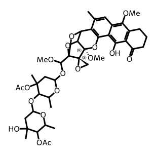 COc1c2c(c(O)c3c4c(c(C)cc13)C1OC3(C(OC)OC5CC(C)(OC(C)=O)C(OC6CC(C)(O)C(OC(C)=O)C(C)O6)C(C)O5)OC1[C@@](OC)(O4)[C@@]31CO1)C(=O)CCC2